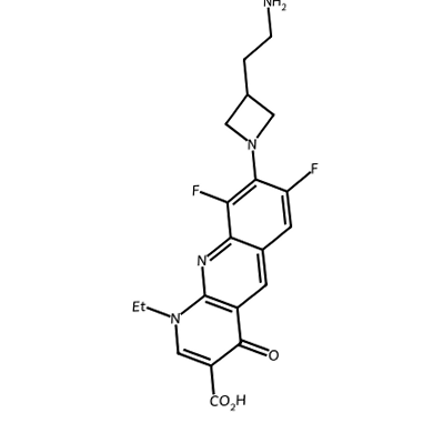 CCn1cc(C(=O)O)c(=O)c2cc3cc(F)c(N4CC(CCN)C4)c(F)c3nc21